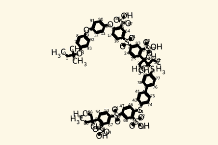 CCC(C)(C)Oc1ccc(Oc2ccc(Oc3ccc(S(=O)(=O)c4ccc(C(C)(CC)C(C)(CC)Sc5ccc(-c6ccc(Sc7ccc(S(=O)(=O)c8ccc(C(C)(CC)CC)c(S(=O)(=O)O)c8)cc7S(=O)(=O)O)cc6)cc5)c(S(=O)(=O)O)c4)cc3S(=O)(=O)O)cc2)cc1